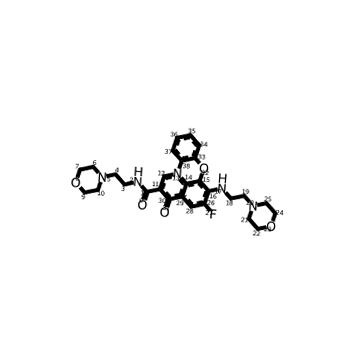 O=C(NCCN1CCOCC1)c1cn2c3c(c(NCCN4CCOCC4)c(F)cc3c1=O)Oc1ccccc1-2